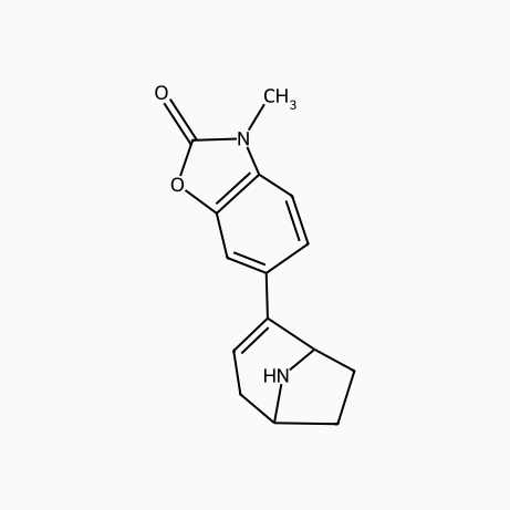 Cn1c(=O)oc2cc(C3=CCC4CCC3N4)ccc21